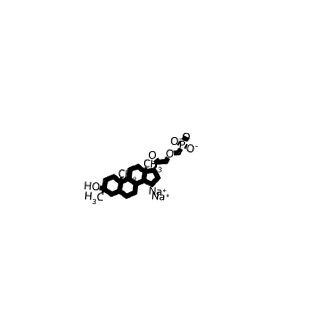 C[C@@]1(O)CC[C@@]2(C)C(CCC3C2CC[C@@]2(C)C3CC[C@@H]2C(=O)COCP(=O)([O-])[O-])C1.[Na+].[Na+]